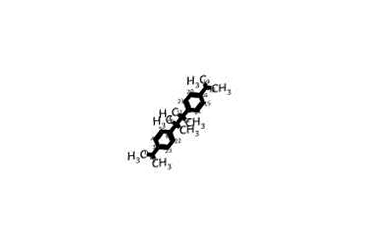 CC(C)c1ccc(C(C)(C)C(C)(C)c2ccc(C(C)C)cc2)cc1